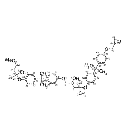 CCC(C)(CC(O)COc1ccc(C(C)(C)c2ccc(OC(CC)(CC)CCOC)cc2)cc1)Oc1ccc(C(C)(C)c2ccc(OCC3CO3)cc2)cc1